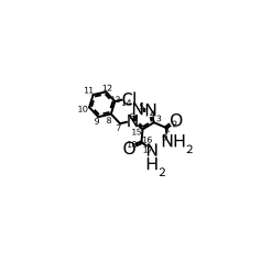 NC(=O)c1nnn(Cc2ccccc2Cl)c1C(N)=O